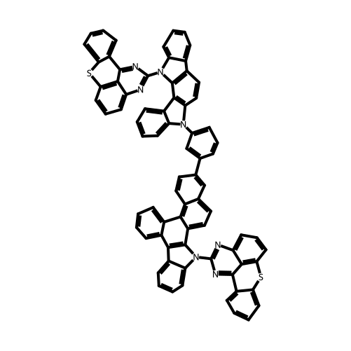 c1cc(-c2ccc3c(ccc4c3c3ccccc3c3c5ccccc5n(-c5nc6c7c(cccc7n5)Sc5ccccc5-6)c43)c2)cc(-n2c3ccccc3c3c2ccc2c4ccccc4n(-c4nc5c6c(cccc6n4)Sc4ccccc4-5)c23)c1